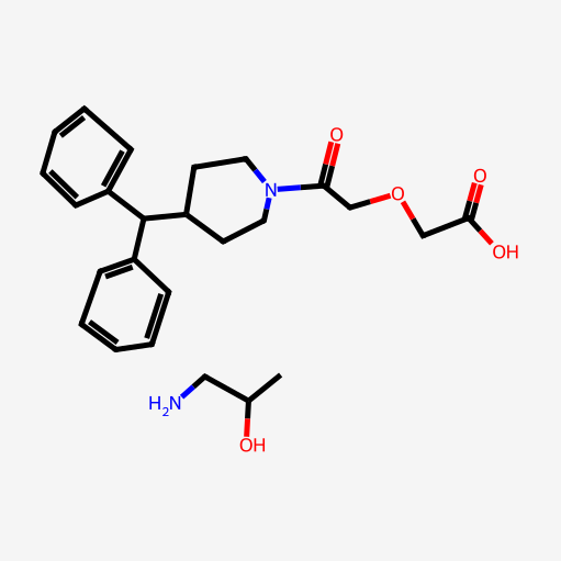 CC(O)CN.O=C(O)COCC(=O)N1CCC(C(c2ccccc2)c2ccccc2)CC1